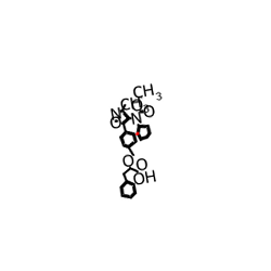 CCOC(=O)N(c1ccccc1)c1c(C)noc1-c1ccc(COC(Cc2ccccc2)C(=O)O)cc1